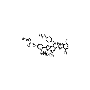 COC(=O)COc1ccc(-c2cc3c(N[C@H]4CC[C@H](N)CC4)c(C(N)=Nc4cc(F)ccc4Cl)cnn3c2)c(C)c1.O=CO